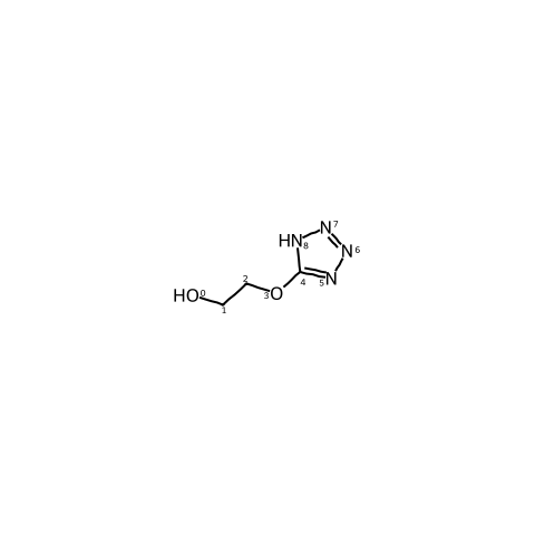 OCCOc1nnn[nH]1